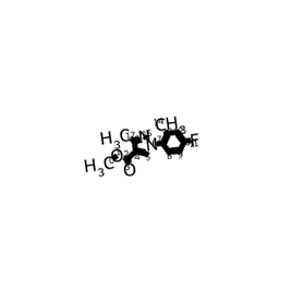 COC(=O)c1cn(-c2ccc(F)cc2C)nc1C